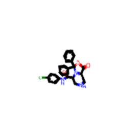 O=C(Nc1ccc(Cl)cc1)C1CNCC2C(=O)OC(c3ccccc3)(c3ccccc3)N12